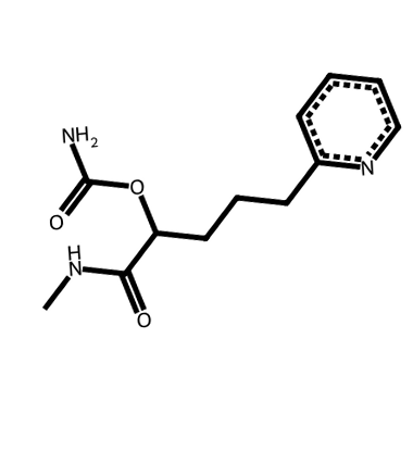 CNC(=O)C(CCCc1ccccn1)OC(N)=O